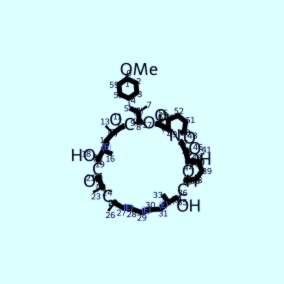 CO[C@H]1CC[C@H](C[C@@H](C)[C@@H]2CC(=O)[C@H](C)/C=C(\C)[C@@H](O)CC(=O)[C@H](C)C[C@H](C)/C=C/C=C/C=C(\C)[C@@H](O)C[C@@H]3CC[C@@H](C)[C@@](O)(O3)C(=O)C(=O)N3CCCC[C@H]3C(=O)O2)CC1